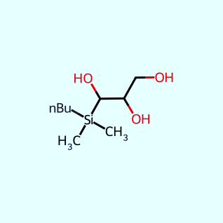 CCCC[Si](C)(C)C(O)C(O)CO